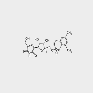 Cc1cc(C)c2c(c1)COP(=O)(OC[C@@]1(F)O[C@@H](n3cc(CO)c(=S)[nH]c3=O)[C@H](O)[C@@H]1O)O2